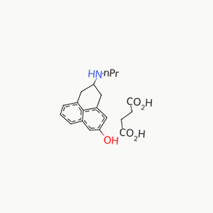 CCCNC1Cc2cccc3cc(O)cc(c23)C1.O=C(O)CCC(=O)O